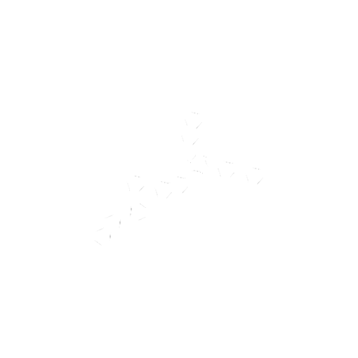 c1ccc(-c2ccc(-c3nc(-c4ccc5ccccc5c4)nc(-c4ccc5ccc(-c6cccc7oc8c(-c9ccc%10ccccc%10c9)cccc8c67)cc5c4)n3)cc2)cc1